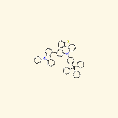 c1ccc(-n2c3ccccc3c3c(-c4ccc(N(c5ccc([Si](c6ccccc6)(c6ccccc6)c6ccccc6)cc5)c5cccc6sc7ccccc7c56)cc4)cccc32)cc1